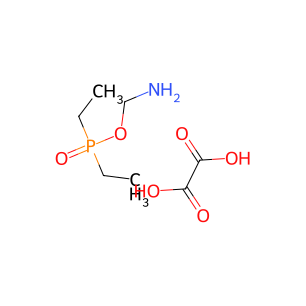 CCP(=O)(CC)OCN.O=C(O)C(=O)O